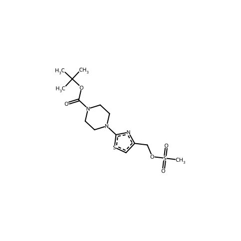 CC(C)(C)OC(=O)N1CCN(c2nc(COS(C)(=O)=O)cs2)CC1